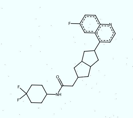 O=C(CC1CC2CC(c3ccnc4ccc(F)cc34)CC2C1)NC1CCC(F)(F)CC1